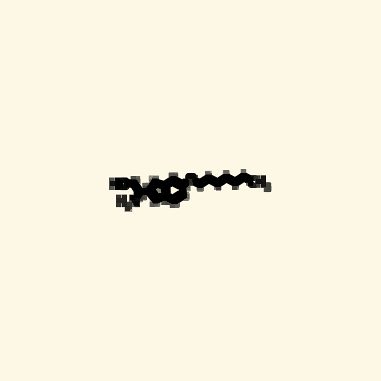 CCCCCCCOc1ccc2c(c1)CC(C(N)CO)=C2